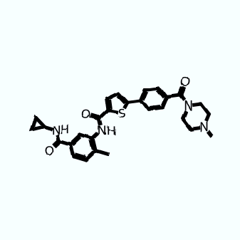 Cc1ccc(C(=O)NC2CC2)cc1NC(=O)c1ccc(-c2ccc(C(=O)N3CCN(C)CC3)cc2)s1